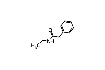 CCNC(=O)[CH]c1ccccc1